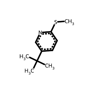 CSc1ccc(C(C)(C)C)cn1